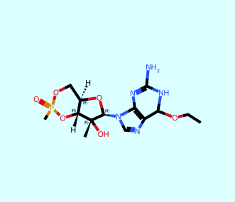 CCOC1NC(N)=Nc2c1ncn2[C@@H]1O[C@@H]2COP(C)(=O)O[C@H]2[C@@]1(C)O